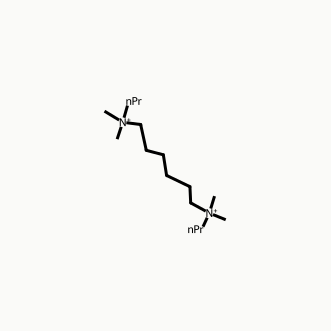 CCC[N+](C)(C)CCCCCC[N+](C)(C)CCC